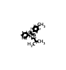 C=C(C)CCN(c1cccnc1)S(=O)(=O)c1ccc(C)cc1